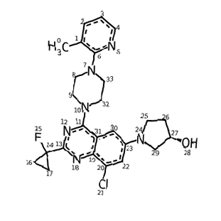 Cc1cccnc1N1CCN(c2nc(C3(F)CC3)nc3c(Cl)cc(N4CC[C@@H](O)C4)cc23)CC1